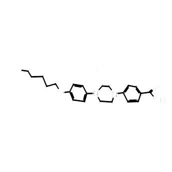 CCCCCCOc1ccc(N2CCN(c3ccc(C(=O)O)cc3)CC2)cc1.Cl